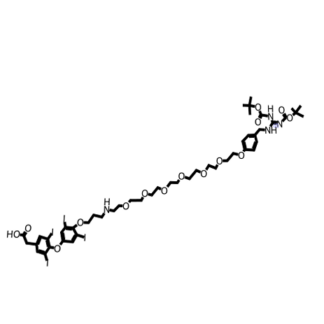 CC(C)(C)OC(=O)/N=C(/NCc1ccc(OCCOCCOCCOCCOCCOCCOCCNCCCOc2c(I)cc(Oc3c(I)cc(CC(=O)O)cc3I)cc2I)cc1)NC(=O)OC(C)(C)C